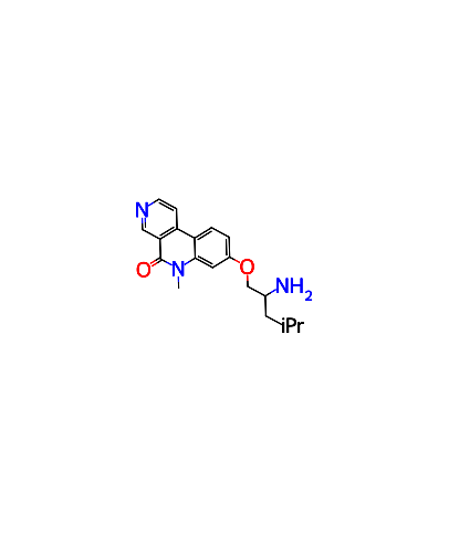 CC(C)CC(N)COc1ccc2c3ccncc3c(=O)n(C)c2c1